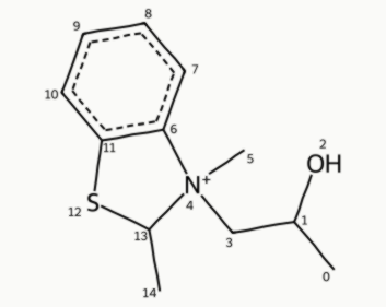 CC(O)C[N+]1(C)c2ccccc2SC1C